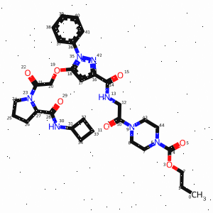 CCCOC(=O)N1CCN(C(=O)CNC(=O)c2cc(OCC(=O)N3CCCC3C(=O)NC3CCC3)n(-c3ccccc3)n2)CC1